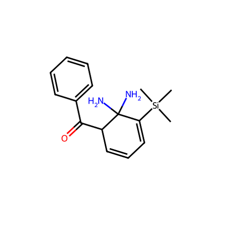 C[Si](C)(C)C1=CC=CC(C(=O)c2ccccc2)C1(N)N